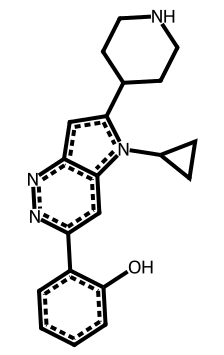 Oc1ccccc1-c1cc2c(cc(C3CCNCC3)n2C2CC2)nn1